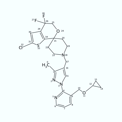 Cc1nn(-c2ncccc2COC2CC2)cc1CN1CCC2(CC1)OCC(F)(F)c1cc(Cl)sc12